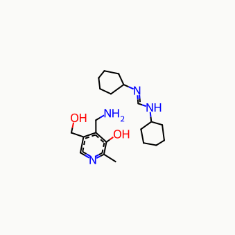 C(=NC1CCCCC1)NC1CCCCC1.Cc1ncc(CO)c(CN)c1O